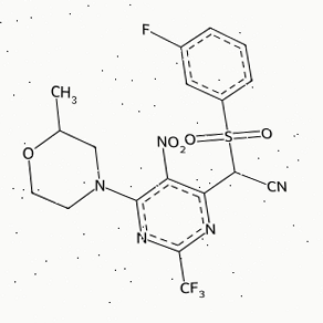 CC1CN(c2nc(C(F)(F)F)nc(C(C#N)S(=O)(=O)c3cccc(F)c3)c2[N+](=O)[O-])CCO1